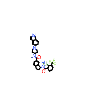 CN(C(=O)c1ccc2c(c1)C(NC(=O)c1cccc(C(F)(F)F)c1Cl)CC2)C1CCN(c2ccc3cnccc3c2)CC1